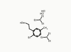 CCCCCCCCCCCCc1cc(C)ccc1CC.CCN(CC)CC.CCN(CC)CC.Cl.Cl